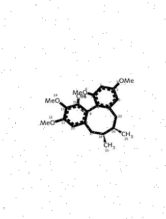 COc1cc2c(c(OC)c1)-c1c(cc(OC)c(OC)c1O)C[C@H](C)[C@H](C)C2